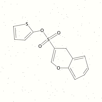 O=S(=O)(Oc1cccs1)C1=COc2ccccc2C1